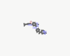 CC(c1ccc(Nc2ncnc3ccc(NC(=O)C#CC4CC4)cc23)cc1)c1ccn2ncnc2c1